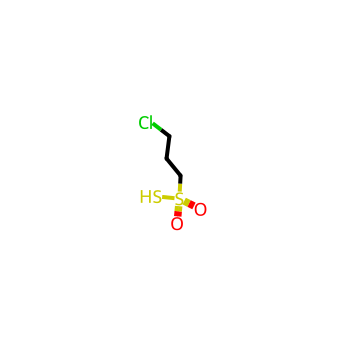 O=S(=O)(S)CCCCl